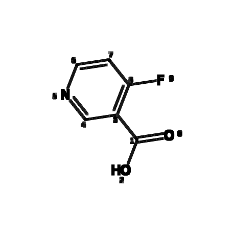 O=C(O)c1cnccc1F